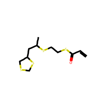 C=CC(=O)SCCSC(C)CC1CSCS1